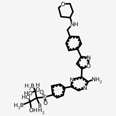 BC(O)(O)C(B)(C(B)(O)O)S(=O)(=O)c1ccc(-c2cnc(N)c(-c3cc(-c4ccc(CNC5CCOCC5)cc4)no3)n2)cc1